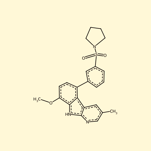 COc1ccc(-c2cccc(S(=O)(=O)N3CCCC3)c2)c2c1[nH]c1ncc(C)cc12